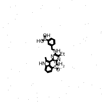 CCc1nnc(-c2c(C)[nH]c3cccc([S+](N)[O-])c23)nc1NCc1cccc(B(O)O)c1